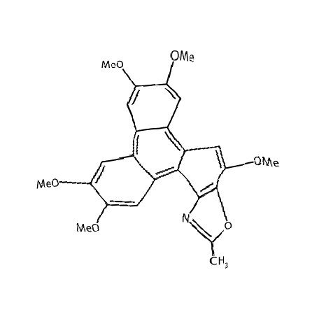 COc1cc2c3cc(OC)c(OC)cc3c3c(cc(OC)c4oc(C)nc43)c2cc1OC